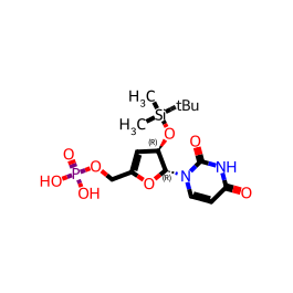 CC(C)(C)[Si](C)(C)O[C@@H]1C=C(COP(=O)(O)O)O[C@H]1n1ccc(=O)[nH]c1=O